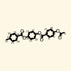 CC(=O)Oc1ccc(C(=O)Oc2ccc(OC(=O)c3ccc(C)cc3)cc2)cc1